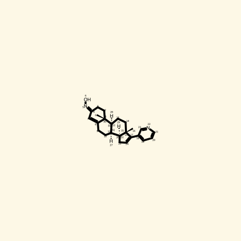 C[C@]12CCC(=NO)C=C1CC[C@H]1[C@@H]2CC[C@]2(C)C(c3cccnc3)=CC[C@@H]12